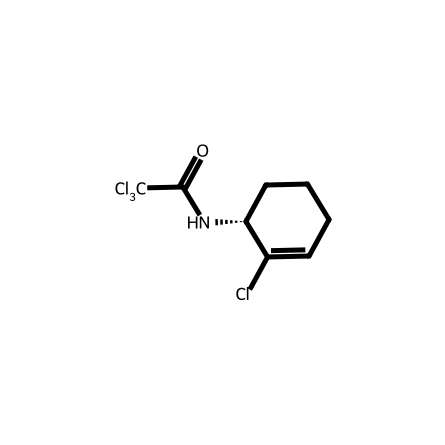 O=C(N[C@@H]1CCCC=C1Cl)C(Cl)(Cl)Cl